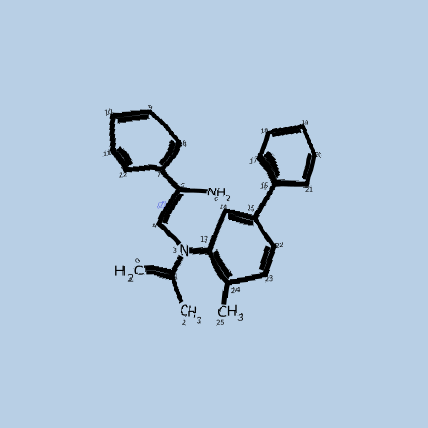 C=C(C)N(/C=C(\N)c1ccccc1)c1cc(-c2ccccc2)ccc1C